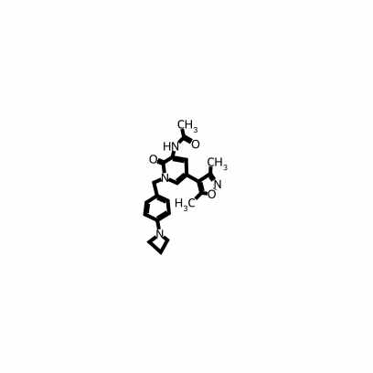 CC(=O)Nc1cc(-c2c(C)noc2C)cn(Cc2ccc(N3CCC3)cc2)c1=O